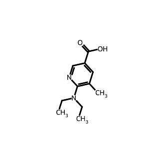 CCN(CC)c1ncc(C(=O)O)cc1C